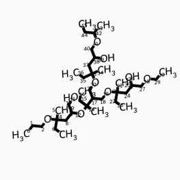 CCCOC(C)(CC)CC(CO)OC(C)(CC)C(COC(C)(CC)CC(O)COCC)COC(C)(CC)CC(O)COC(C)CC